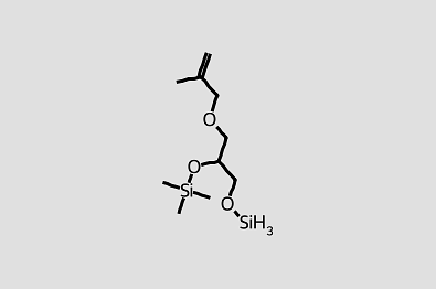 C=C(C)COCC(CO[SiH3])O[Si](C)(C)C